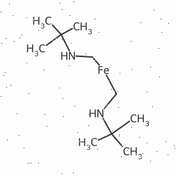 CC(C)(C)N[CH2][Fe][CH2]NC(C)(C)C